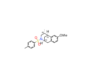 COc1ccc2c(c1)[C@H]1C[C@@H](C2)N(S(=O)(=O)c2ccc(C)cc2)C[C@@H]1C